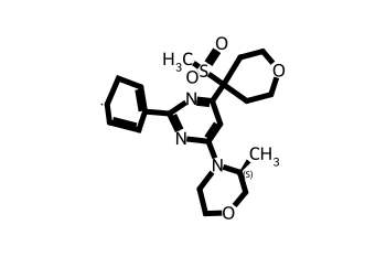 C[C@H]1COCCN1c1cc(C2(S(C)(=O)=O)CCOCC2)nc(C2=CC[CH]C=C2)n1